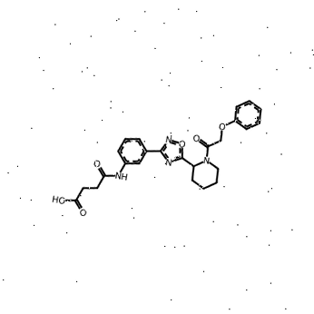 O=C(O)CCC(=O)Nc1cccc(-c2noc(C3CCCCN3C(=O)COc3ccccc3)n2)c1